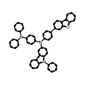 c1ccc(N(c2ccccc2)c2ccc(N(c3ccc(-c4ccc5c(c4)oc4ccccc45)cc3)c3ccc4c(c3)c3ccccc3n4-c3ccccc3)cc2)cc1